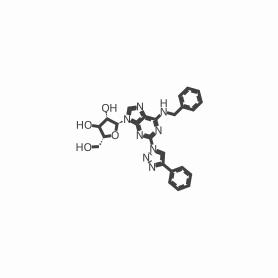 OC[C@H]1O[C@@H](n2cnc3c(NCc4ccccc4)nc(-n4cc(-c5ccccc5)nn4)nc32)[C@@H](O)C1O